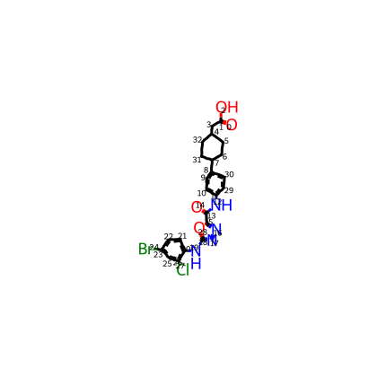 O=C(O)CC1CCC(c2ccc(NC(=O)c3nnc(Nc4ccc(Br)cc4Cl)o3)cc2)CC1